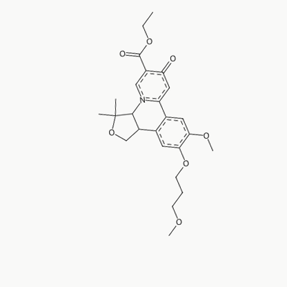 CCOC(=O)c1cn2c(cc1=O)-c1cc(OC)c(OCCCOC)cc1C1COC(C)(C)C12